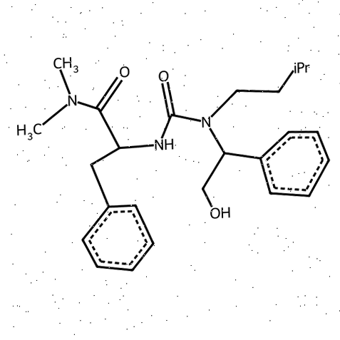 CC(C)CCN(C(=O)NC(Cc1ccccc1)C(=O)N(C)C)C(CO)c1ccccc1